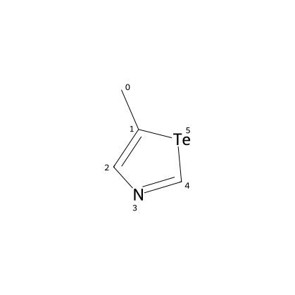 Cc1cnc[te]1